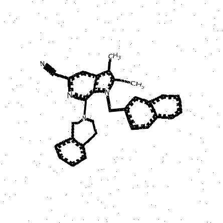 Cc1c(C)n(Cc2ccc3ccccc3c2)c2c(N3CCc4ccccc4C3)nc(C#N)cc12